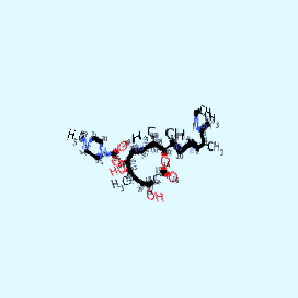 C/C=N\C(=C/C)[C@H](C)/C=C/C=C(\C)[C@H]1OC(=O)C[C@H](O)CC[C@@](C)(O)[C@@H](OC(=O)N2CCN(C)CC2)/C=C/[C@@H]1C